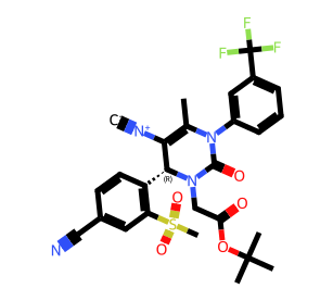 [C-]#[N+]C1=C(C)N(c2cccc(C(F)(F)F)c2)C(=O)N(CC(=O)OC(C)(C)C)[C@@H]1c1ccc(C#N)cc1S(C)(=O)=O